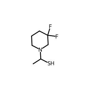 CC(S)N1CCCC(F)(F)C1